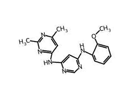 COc1ccccc1Nc1cc(Nc2cc(C)nc(C)n2)ncn1